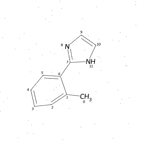 Cc1ccccc1-c1ncc[nH]1